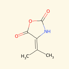 CC(C)=C1NC(=O)OC1=O